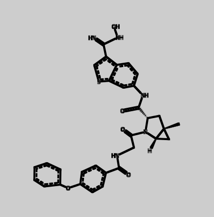 C[C@@]12C[C@@H]1N(C(=O)CNC(=O)c1ccc(Oc3ccccc3)cc1)[C@H](C(=O)Nc1ccc3c(C(=N)NO)csc3c1)C2